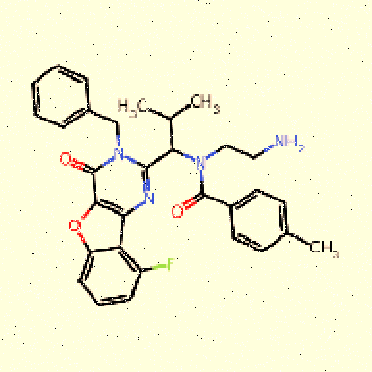 Cc1ccc(C(=O)N(CCN)C(c2nc3c(oc4cccc(F)c43)c(=O)n2Cc2ccccc2)C(C)C)cc1